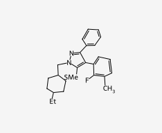 CCC1CCC(Cn2nc(-c3ccccc3)c(-c3cccc(C)c3F)c2SC)CC1